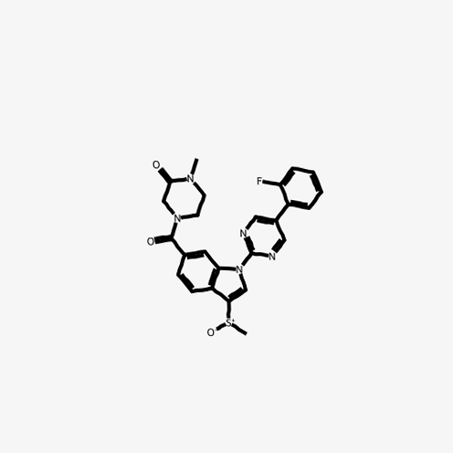 CN1CCN(C(=O)c2ccc3c([S+](C)[O-])cn(-c4ncc(-c5ccccc5F)cn4)c3c2)CC1=O